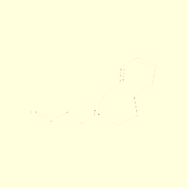 O=[C]CCN1CCc2ccccc2C1